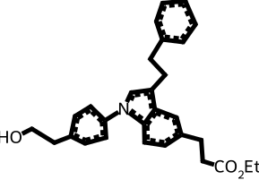 CCOC(=O)CCc1ccc2c(c1)c(CCc1ccccc1)cn2-c1ccc(CCO)cc1